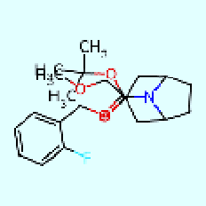 COCC1(OCc2ccccc2F)CC2CCC(C1)N2C(=O)OC(C)(C)C